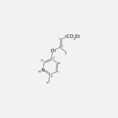 CCOC(=O)/C=C(\C)Oc1ccc(C)nc1